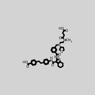 CN(CCN(Cc1cccc(C(=O)Nc2sc3c(c2C(=O)Nc2ccc(CCc4ccc(C(=O)O)cc4)cc2)CCCC3)c1)[C@@H]1CCOC1)C(=O)CCC(=O)O